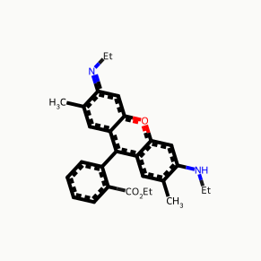 CC/N=c1\cc2oc3cc(NCC)c(C)cc3c(-c3ccccc3C(=O)OCC)c-2cc1C